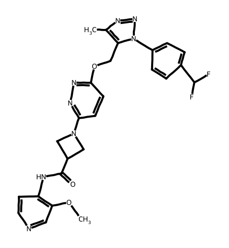 COc1cnccc1NC(=O)C1CN(c2ccc(OCc3c(C)nnn3-c3ccc(C(F)F)cc3)nn2)C1